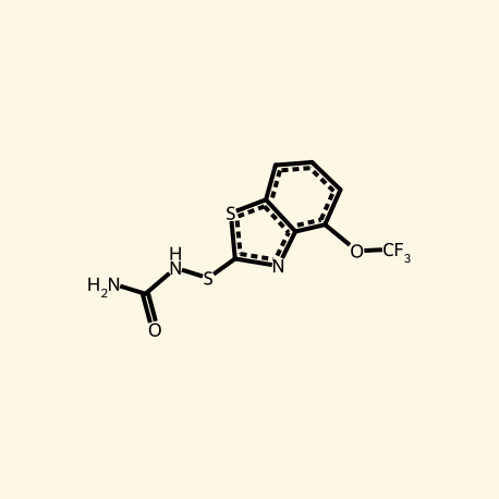 NC(=O)NSc1nc2c(OC(F)(F)F)cccc2s1